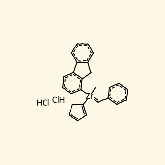 Cl.Cl.[CH3][Zr](=[CH]c1ccccc1)([C]1=CC=CC1)[c]1cccc2c1Cc1ccccc1-2